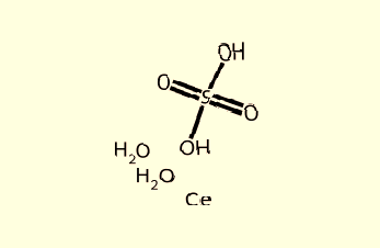 O.O.O=S(=O)(O)O.[Ce]